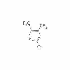 [O]c1ccc(C(F)(F)F)c(C(F)(F)F)c1